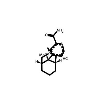 CO[C@]1(c2ccnc(C(N)=O)c2)[C@@H]2CCC[C@H]1CN(C)C2.Cl